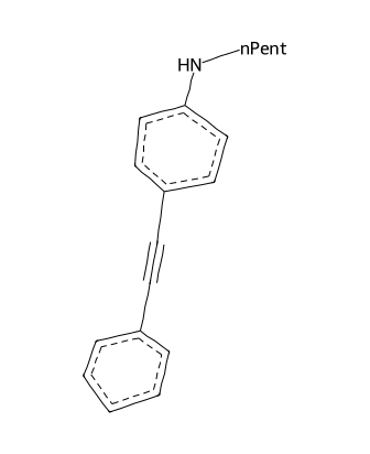 CCCCCNc1ccc(C#Cc2ccccc2)cc1